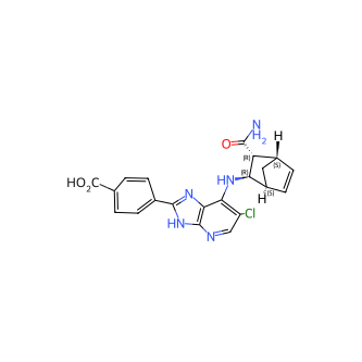 NC(=O)[C@H]1[C@H](Nc2c(Cl)cnc3[nH]c(-c4ccc(C(=O)O)cc4)nc23)[C@@H]2C=C[C@@H]1C2